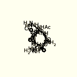 CC(=O)N[C@@H](CCCNC(=N)N)C(=O)N[C@H]1CC(=O)NCCCC[C@@H](C(N)=O)NC(=O)[C@H](Cc2c[nH]c3ccccc23)NC(=O)[C@H](CCCNC(=N)N)NC(=O)[C@@H](Cc2ccccc2)NC(=O)[C@@H]2CC(Cc3cccc(Cl)c3)CN2C1=O